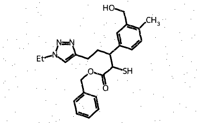 CCn1cc(CCC(c2ccc(C)c(CO)c2)C(S)C(=O)OCc2ccccc2)nn1